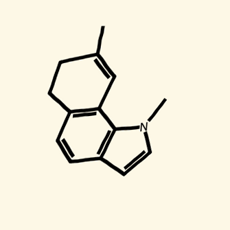 CC1=Cc2c(ccc3ccn(C)c23)CC1